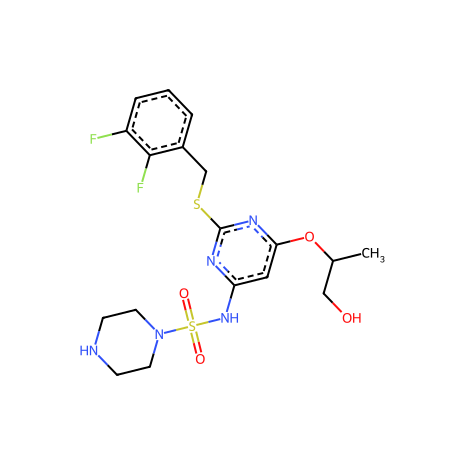 CC(CO)Oc1cc(NS(=O)(=O)N2CCNCC2)nc(SCc2cccc(F)c2F)n1